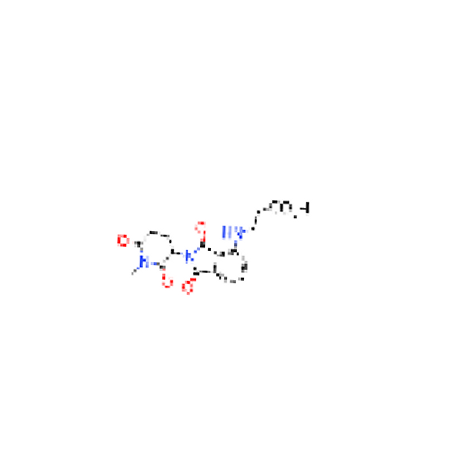 CN1C(=O)CCC(N2C(=O)c3cccc(NCCC(=O)O)c3C2=O)C1=O